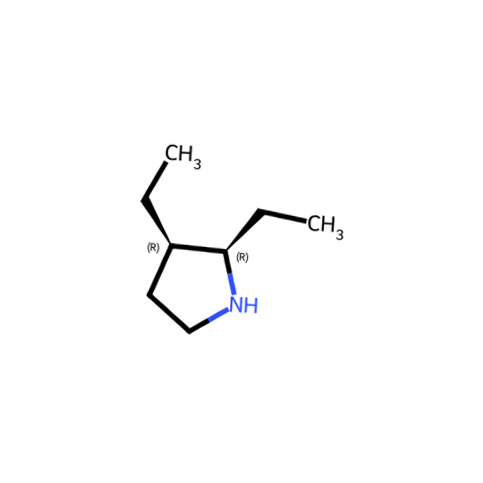 CC[C@@H]1CCN[C@@H]1CC